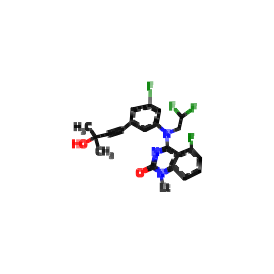 CCn1c(=O)nc(N(CC(F)F)c2cc(F)cc(C#CC(C)(C)O)c2)c2c(F)cccc21